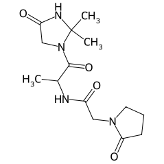 CC(NC(=O)CN1CCCC1=O)C(=O)N1CC(=O)NC1(C)C